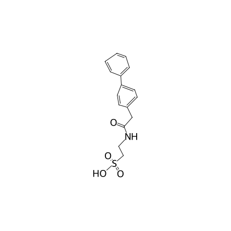 O=C(Cc1ccc(-c2ccccc2)cc1)NCCS(=O)(=O)O